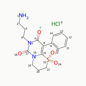 Cl.NCCCn1c(=O)c(-c2ccccc2)c2n(c1=O)CCCS2(=O)=O